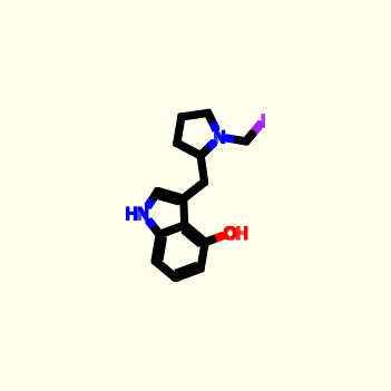 Oc1cccc2[nH]cc(CC3CCCN3CI)c12